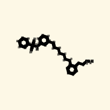 O=C(O)CCc1ccccc1OCCCC/C=C/c1cccc(NS(=O)(=O)c2ccccc2)c1